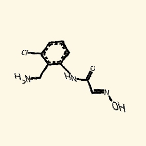 NCc1c(Cl)cccc1NC(=O)C=NO